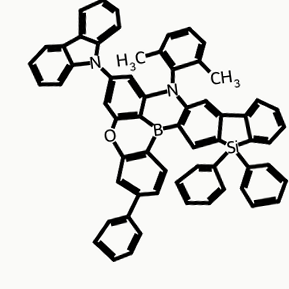 Cc1cccc(C)c1N1c2cc3c(cc2B2c4ccc(-c5ccccc5)cc4Oc4cc(-n5c6ccccc6c6ccccc65)cc1c42)[Si](c1ccccc1)(c1ccccc1)c1ccccc1-3